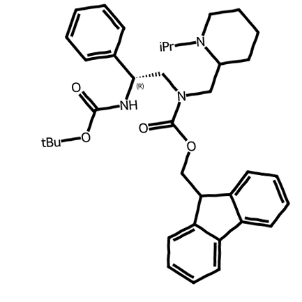 CC(C)N1CCCCC1CN(C[C@H](NC(=O)OC(C)(C)C)c1ccccc1)C(=O)OCC1c2ccccc2-c2ccccc21